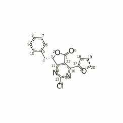 O=C1O[C@@H](Cc2ccccc2)c2nc(Cl)nc(-c3ccco3)c21